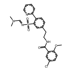 COc1ccc(Cl)cc1C(=O)NCCc1ccc(-c2ccccn2)c(S(=O)(=O)N=CN(C)C)c1